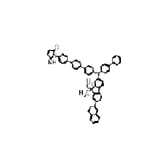 CC1(C)c2cc(-c3ccc4ccccc4c3)ccc2-c2ccc(N(c3ccc(-c4ccccc4)cc3)c3ccc(-c4ccc(-c5ccc(N6C(=N)C=CC6=O)cc5)cc4)cc3)cc21